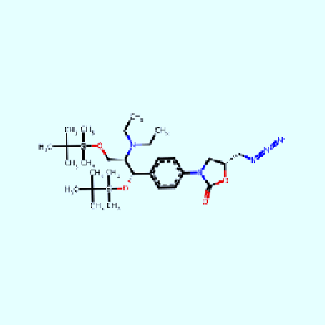 CCN(CC)[C@H](CO[Si](C)(C)C(C)(C)C)[C@@H](O[Si](C)(C)C(C)(C)C)c1ccc(N2C[C@H](CN=[N+]=[N-])OC2=O)cc1